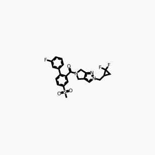 CS(=O)(=O)c1ccc(-c2cccc(F)c2)c(C(=O)N2Cc3cn(CC4CC4(F)F)nc3C2)c1